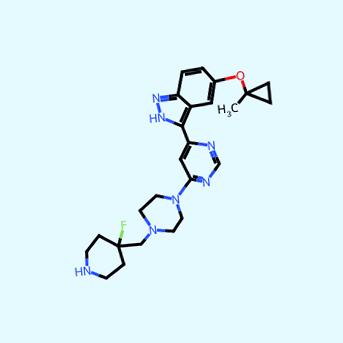 CC1(Oc2ccc3n[nH]c(-c4cc(N5CCN(CC6(F)CCNCC6)CC5)ncn4)c3c2)CC1